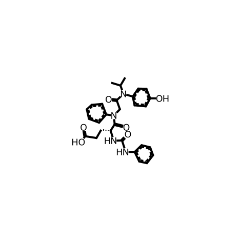 CC(C)N(C(=O)CN(C(=O)[C@@H](CCC(=O)O)NC(=O)Nc1ccccc1)c1ccccc1)c1ccc(O)cc1